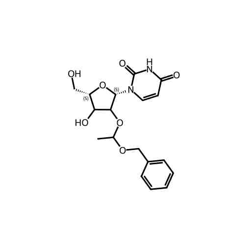 CC(OCc1ccccc1)OC1C(O)[C@H](CO)O[C@@H]1n1ccc(=O)[nH]c1=O